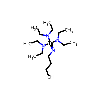 CCCC[N]=[Ta]([N](CC)CC)([N](CC)CC)[N](CC)CC